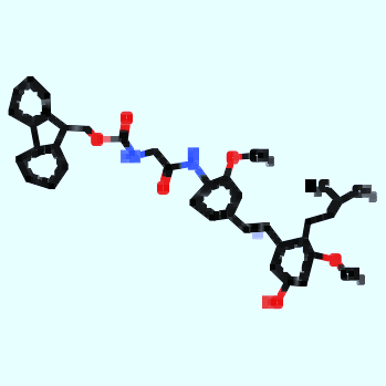 COc1cc(/C=C/c2cc(O)cc(OC)c2CC=C(C)C)ccc1NC(=O)CNC(=O)OCC1c2ccccc2-c2ccccc21